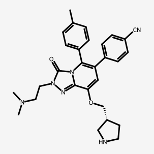 Cc1ccc(-c2c(-c3ccc(C#N)cc3)cc(OC[C@@H]3CCNC3)c3nn(CCN(C)C)c(=O)n23)cc1